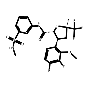 CNS(=O)(=O)c1cccc(NC(=O)[C@@H]2S[C@@](C)(C(F)(F)F)C[C@H]2c2ccc(F)c(F)c2OC)c1